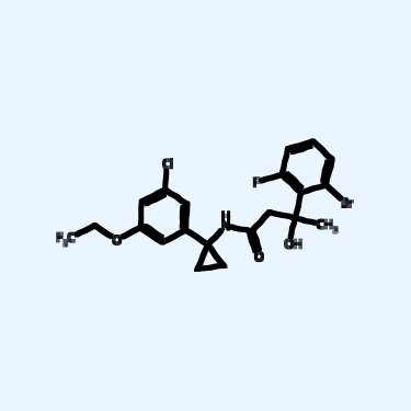 CC(O)(CC(=O)NC1(c2cc(Cl)cc(OCC(F)(F)F)c2)CC1)c1c(F)cccc1Br